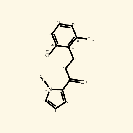 CC(C)n1cccc1C(=O)CCc1c(F)cccc1Cl